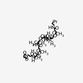 CC(C)CCNC(=O)CCC(C)(C)OCCC(C)(C)NC(=O)CCC(C)(C)OCCC(C)(C)NC(=O)CCC(C)(C)OCCC(C)(C)NC(=O)CCN1C(=O)C=CC1=O